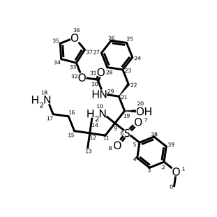 COc1ccc(S(=O)(=O)C(N)(CC(C)(C)CCCN)[C@H](O)[C@H](Cc2ccccc2)NC(=O)Oc2ccoc2)cc1